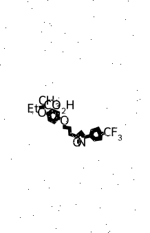 CCC(C)(Oc1ccc(OCCCc2cc(-c3ccc(C(F)(F)F)cc3)no2)cc1)C(=O)O